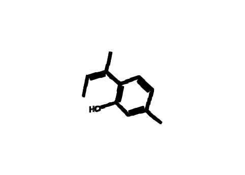 C/C=C(/C)c1ccc(C)cc1O